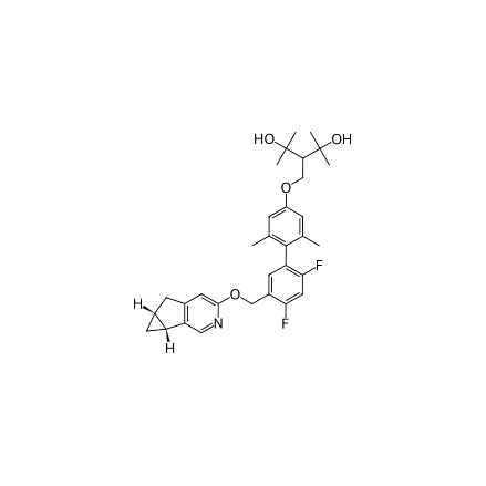 Cc1cc(OCC(C(C)(C)O)C(C)(C)O)cc(C)c1-c1cc(COc2cc3c(cn2)[C@@H]2C[C@@H]2C3)c(F)cc1F